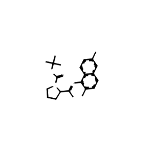 C/C(=N\c1c(C)ccc2cc(C)ccc12)C1CCCN1C(=O)OC(C)(C)C